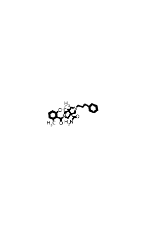 Cc1cccc(C)c1C(=O)N1CC2(C)CN(CC[CH]c3ccccc3)C[C@]2(C(N)=O)C1